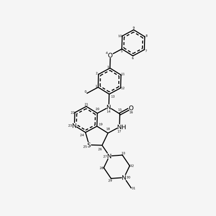 Cc1cc(Oc2ccccc2)ccc1N1C(=O)NC2c3c1ccnc3SC2N1CCN(C)CC1